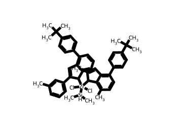 CC1=Cc2c(-c3ccc(C(C)(C)C)cc3)ccc(C)c2[CH]1[Zr]([Cl])([Cl])([CH]1C(c2cccc(C)c2)=Cc2c(-c3ccc(C(C)(C)C)cc3)cccc21)[SiH](C)C